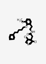 COc1cccc(CCNC(=O)Cc2c(Cl)cncc2Cl)c1OCCCCCc1ccccc1